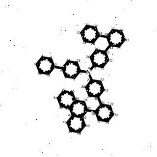 c1ccc(-c2ccc(N(c3ccc(-c4ccccc4-c4ccccc4)cc3)c3ccc(-c4ccccc4-c4cc5ccccc5c5ccccc45)cc3)cc2)cc1